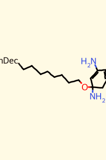 CCCCCCCCCCCCCCCCCCOC1(N)C=C(N)C=CC1